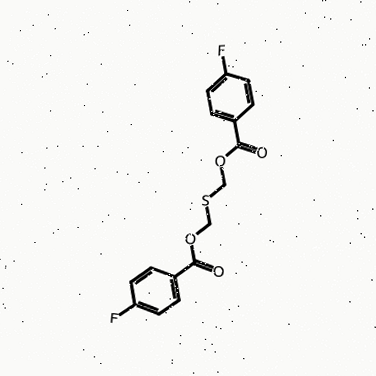 O=C(OCSCOC(=O)c1ccc(F)cc1)c1ccc(F)cc1